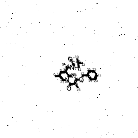 Cc1cc([C@@H](C)N[S+]([O-])C(C)(C)C)c2nc(OCc3ccccc3)c(C)c(=O)n2c1